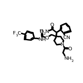 N#Cc1ccccc1C(C(N)=O)C1(COC(=O)Nc2ccc(C(F)(F)F)cc2)CCN(C(=O)CN)CC1